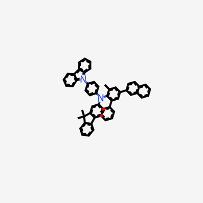 Cc1cc(-c2ccc3ccccc3c2)cc(-c2ccccc2)c1N(c1ccc(-n2c3ccccc3c3ccccc32)cc1)c1ccc2c(c1)C(C)(C)c1ccccc1-2